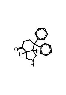 O=C1CCC(c2ccccc2)(c2ccccc2)[C@@H]2CNC[C@H]12